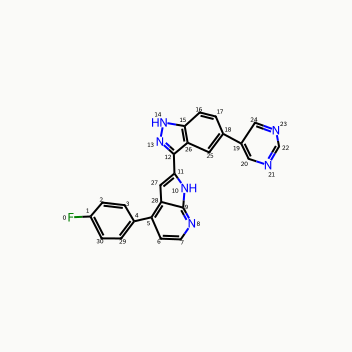 Fc1ccc(-c2ccnc3[nH]c(-c4n[nH]c5ccc(-c6cncnc6)cc45)cc23)cc1